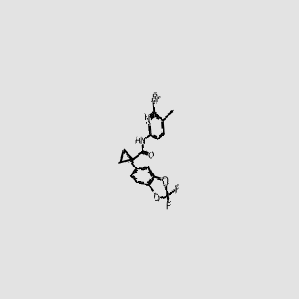 Cc1ccc(NC(=O)C2(c3ccc4c(c3)OC(F)(F)O4)CC2)nc1Br